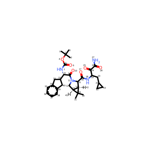 CC(C)(C)OC(=O)N[C@H](C(=O)N1C[C@H]2[C@@H](C1C(=O)NC(CC1CC1)C(=O)C(N)=O)C2(C)C)C1Cc2ccccc2C1